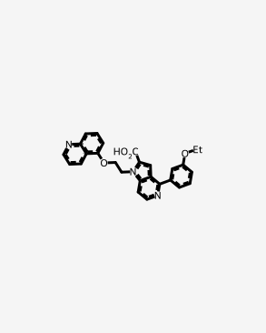 CCOc1cccc(-c2nccc3c2cc(C(=O)O)n3CCOc2cccc3ncccc23)c1